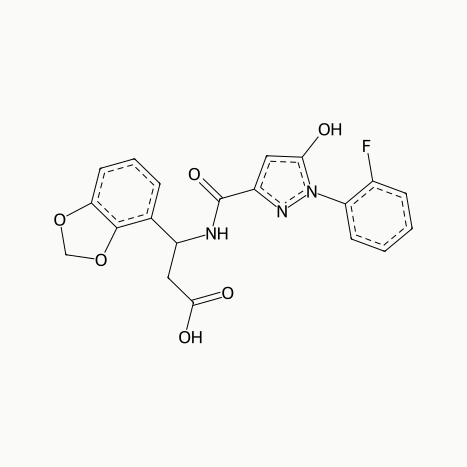 O=C(O)CC(NC(=O)c1cc(O)n(-c2ccccc2F)n1)c1cccc2c1OCO2